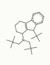 C[Si](C)(C)[CH2][Sc]([CH2][Si](C)(C)C)[CH]1CCCC2=C1C([Si](C)(C)C)c1ccccc12